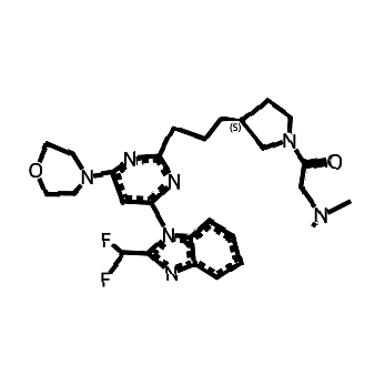 CN(C)CC(=O)N1CC[C@H](CCCc2nc(N3CCOCC3)cc(-n3c(C(F)F)nc4ccccc43)n2)C1